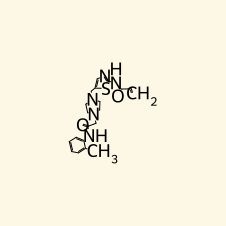 C=CC(=O)Nc1ncc(CN2CCN(CC(=O)Nc3ccccc3C)CC2)s1